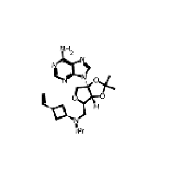 C=C[C@H]1C[C@@H](N(C[C@H]2OC[C@@]3(n4cnc5c(N)ncnc54)OC(C)(C)O[C@H]23)C(C)C)C1